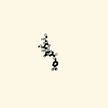 CON=C(C(=O)NC1C(=O)N2C=C(C(=O)OCc3ccc([N+](=O)[O-])cc3)CS[C@H]12)c1nc(NC=O)sc1Br